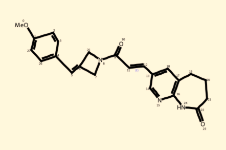 COc1ccc(C=C2CN(C(=O)/C=C/c3cnc4c(c3)CCCC(=O)N4)C2)cc1